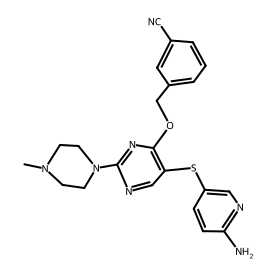 CN1CCN(c2ncc(Sc3ccc(N)nc3)c(OCc3cccc(C#N)c3)n2)CC1